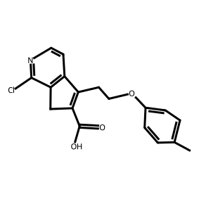 Cc1ccc(OCCC2=C(C(=O)O)Cc3c2ccnc3Cl)cc1